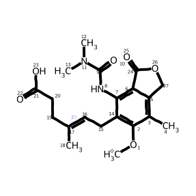 COc1c(C)c2c(c(NC(=O)N(C)C)c1C/C=C(\C)CCC(=O)O)C(=O)OC2